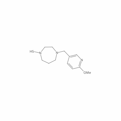 COc1ccc(CN2CCCN(S)CC2)cn1